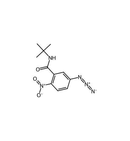 CC(C)(C)NC(=O)c1cc(N=[N+]=[N-])ccc1[N+](=O)[O-]